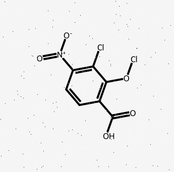 O=C(O)c1ccc([N+](=O)[O-])c(Cl)c1OCl